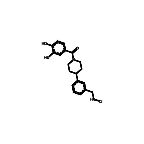 O=C(c1ccc(O)c(O)c1)N1CCC(c2cccc(CNCl)c2)CC1